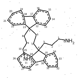 NCCCC1(CCC2(CCCN)c3ccccc3-c3ccccc32)c2ccccc2-c2ccccc21